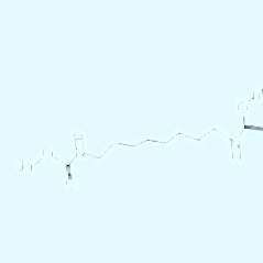 CCCOC(=O)NCCCCCCCCNC(=O)OCCC